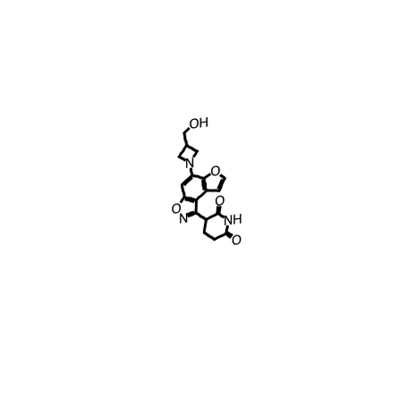 O=C1CCC(c2noc3cc(N4CC(CO)C4)c4occc4c23)C(=O)N1